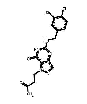 CC(=O)CCn1ncc2nc(NCc3ccc(Cl)c(Cl)c3)[nH]c(=O)c21